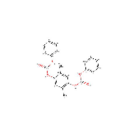 CC(C)(C)c1cc(OC(=O)Oc2ccccc2)c(C(C)(C)C)cc1OC(=O)Oc1ccccc1